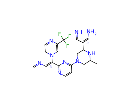 C=N/C=C(/c1nccc(N2CC(C)NC(/C(C=N)=C/N)C2)n1)N1C=C(C(F)(F)F)N=CC1